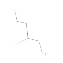 [AlH2][CH2]C(Cl)CCCl